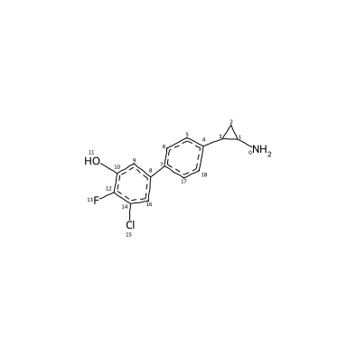 NC1CC1c1ccc(-c2cc(O)c(F)c(Cl)c2)cc1